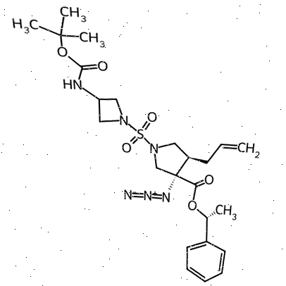 C=CC[C@@H]1CN(S(=O)(=O)N2CC(NC(=O)OC(C)(C)C)C2)C[C@]1(N=[N+]=[N-])C(=O)O[C@H](C)c1ccccc1